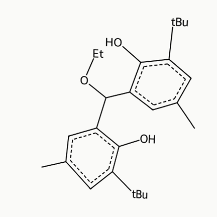 CCOC(c1cc(C)cc(C(C)(C)C)c1O)c1cc(C)cc(C(C)(C)C)c1O